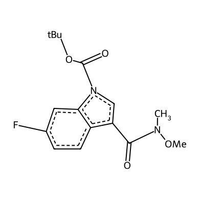 CON(C)C(=O)c1cn(C(=O)OC(C)(C)C)c2cc(F)ccc12